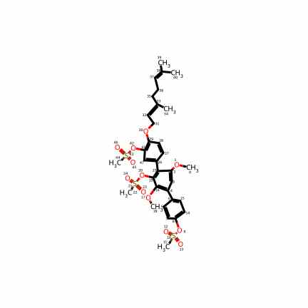 COc1cc(-c2ccc(OS(C)(=O)=O)cc2)c(OC)c(OS(C)(=O)=O)c1-c1ccc(OC/C=C(\C)CCC=C(C)C)c(OS(C)(=O)=O)c1